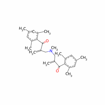 C=C(CN(C)CC(=C)C(=O)c1c(C)cc(C)cc1C)C(=O)c1c(C)cc(C)cc1C